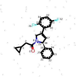 O=C(CC1CC1)N1CC(c2cc(F)ccc2F)=C[C@H]1c1ccccc1